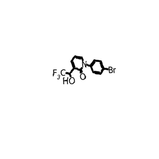 O=c1c(C(O)C(F)(F)F)cccn1-c1ccc(Br)cc1